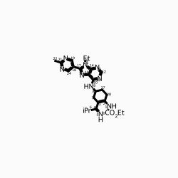 CCOC(=O)NC1=C(C(=N)C(C)C)CC(Nc2ncnc3c2nc(-c2cnc(C)nc2)n3CC)CC1